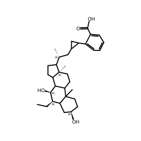 CC[C@@H]1C2C[C@H](O)CCC2(C)C2CC[C@@]3(C)C(CCC3[C@H](C)CC3CC3c3ccccc3C(=O)O)C2[C@@H]1O